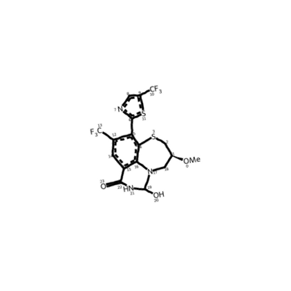 CO[C@@H]1CSc2c(-c3ncc(C(F)(F)F)s3)c(C(F)(F)F)cc3c2N(C1)C(O)NC3=O